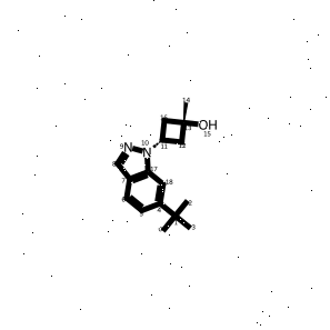 CC(C)(C)c1ccc2cnn([C@H]3C[C@@](C)(O)C3)c2c1